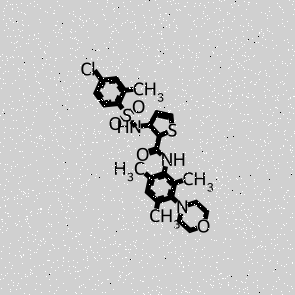 Cc1cc(Cl)ccc1S(=O)(=O)NC1C=CSC1C(=O)Nc1c(C)cc(C)c(N2CCOCC2)c1C